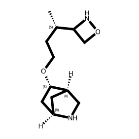 C[C@@H](CCO[C@H]1C[C@H]2C[C@@H]1CN2)C1CON1